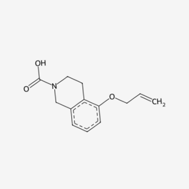 C=CCOc1cccc2c1CCN(C(=O)O)C2